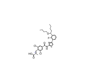 CCCCOC(CCCC)c1cccc(-c2csc(NC(=O)c3cc(Cl)c(/C=C(\C)C(=O)O)c(Cl)c3)n2)c1F